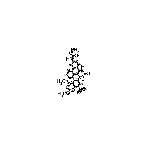 CCOc1cc(C2NC(=O)NC(c3ccc(NC(=O)OC)cc3)=C2c2ccccc2)cc([N+](=O)[O-])c1OC(=O)OC